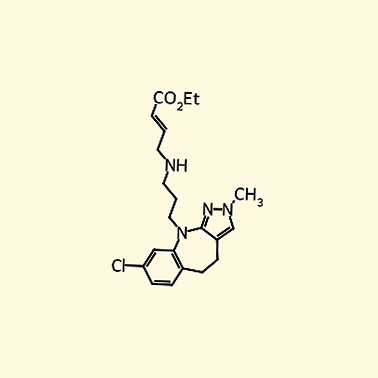 CCOC(=O)/C=C/CNCCCN1c2cc(Cl)ccc2CCc2cn(C)nc21